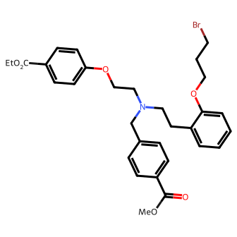 CCOC(=O)c1ccc(OCCN(CCc2ccccc2OCCCBr)Cc2ccc(C(=O)OC)cc2)cc1